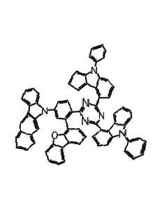 c1ccc(-n2c3ccccc3c3c(-c4nc(-c5ccc(-n6c7ccccc7c7cc8ccccc8cc76)cc5-c5cccc6c5oc5ccccc56)nc(-c5cccc6c5c5ccccc5n6-c5ccccc5)n4)cccc32)cc1